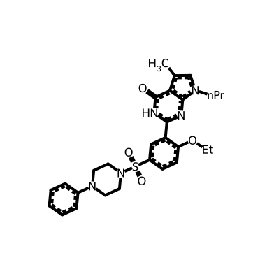 CCCn1cc(C)c2c(=O)[nH]c(-c3cc(S(=O)(=O)N4CCN(c5ccccc5)CC4)ccc3OCC)nc21